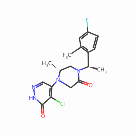 C[C@H](c1ccc(F)cc1C(F)(F)F)N1C[C@@H](C)N(c2cn[nH]c(=O)c2Cl)CC1=O